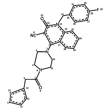 N#Cc1c(N2CCN(C(=O)Cc3cccs3)CC2)c2ccccc2n(Cc2ccc(F)cc2)c1=O